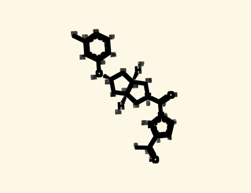 CC(=O)c1ccn(C(=O)N2C[C@H]3C[C@H](Oc4cccc(C)c4)C[C@H]3C2)n1